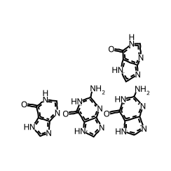 Nc1nc2nc[nH]c2c(=O)[nH]1.Nc1nc2nc[nH]c2c(=O)[nH]1.O=c1[nH]cnc2nc[nH]c12.O=c1[nH]cnc2nc[nH]c12